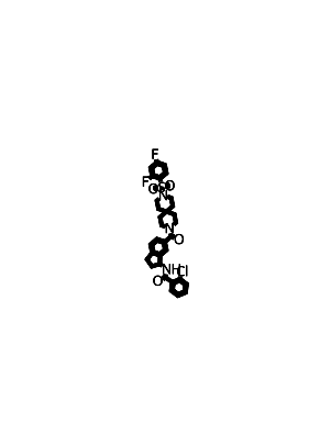 O=C(NC1CCc2ccc(C(=O)N3CCC4(CC3)CCN(S(=O)(=O)c3ccc(F)cc3F)CC4)cc21)c1ccccc1Cl